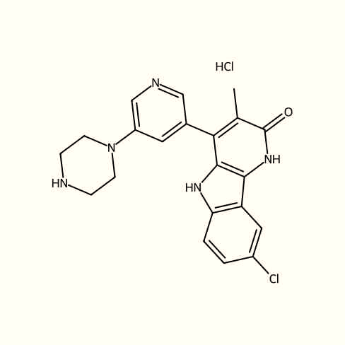 Cc1c(-c2cncc(N3CCNCC3)c2)c2[nH]c3ccc(Cl)cc3c2[nH]c1=O.Cl